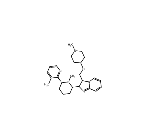 Cc1cccnc1[C@@H]1CCC[C@H](C2N=C3C=CC=CN3C2COC2CCN(C)CC2)N1C